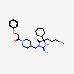 CCCCC1(C2CCCCC2)NC(=N)N(CC2CCN(C(=O)COc3ccccc3)CC2)C1=O